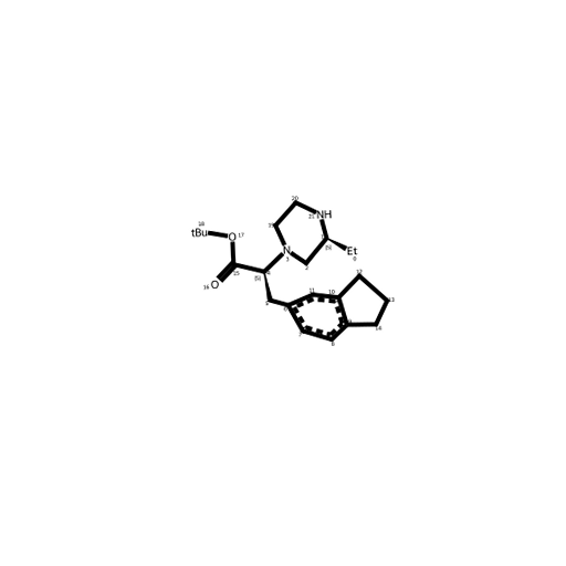 CC[C@H]1CN([C@@H](Cc2ccc3c(c2)CCC3)C(=O)OC(C)(C)C)CCN1